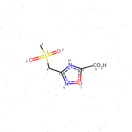 CS(=O)(=O)Cc1noc(C(=O)O)n1